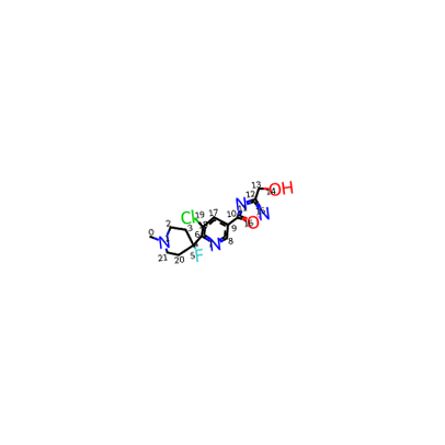 CN1CCC(F)(c2ncc(-c3nc(CO)no3)cc2Cl)CC1